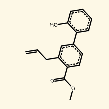 C=CCc1cc(-c2ccccc2O)ccc1C(=O)OC